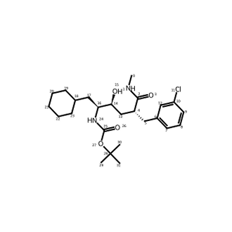 CNC(=O)[C@H](Cc1cccc(Cl)c1)C[C@H](O)[C@H](CC1CCCCC1)NC(=O)OC(C)(C)C